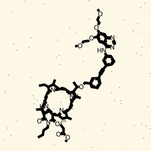 CCCCN1C(=O)c2c3nc(cc4[nH]c(cc5nc(cc6[nH]c2c(c6C)C1=O)C(CC)C5C)c(C(C)OCc1cccc(C#Cc2cccc(Nc5ncnc6cc(OCCOC)c(OCCOC)cc56)c2)c1)c4C)C(C)[C@@H]3CCC(=O)OC